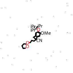 COc1cc2c(cc1O[Si](C(C)C)(C(C)C)C(C)C)CC2(C#N)CCCOC1CCCCO1